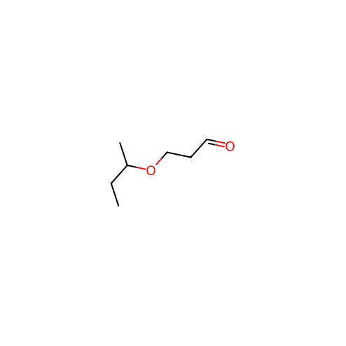 CCC(C)OCCC=O